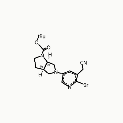 CC(C)(C)OC(=O)N1CC[C@@H]2CN(c3cnc(Br)c(CC#N)c3)C[C@@H]21